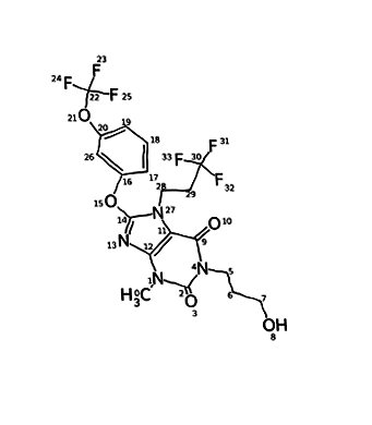 Cn1c(=O)n(CCCO)c(=O)c2c1nc(Oc1cccc(OC(F)(F)F)c1)n2CCC(F)(F)F